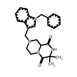 CC1(C)NC(=O)C2CN(Cc3cn(Cc4ccccc4)c4ccccc34)CCN2C1=O